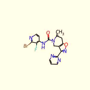 C[C@H]1Cc2onc(-c3ncccn3)c2CN1C(=O)Nc1ccnc(Br)c1F